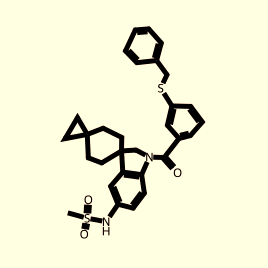 CS(=O)(=O)Nc1ccc2c(c1)C1(CCC3(CC3)CC1)CN2C(=O)c1cccc(SCc2ccccc2)c1